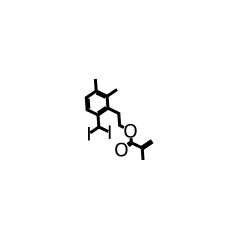 C=C(C)C(=O)OCCc1c(C(I)I)ccc(C)c1C